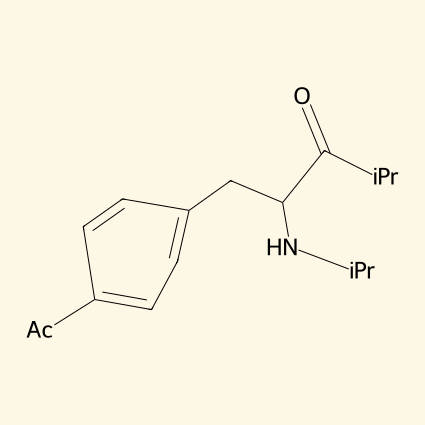 CC(=O)c1ccc(CC(NC(C)C)C(=O)C(C)C)cc1